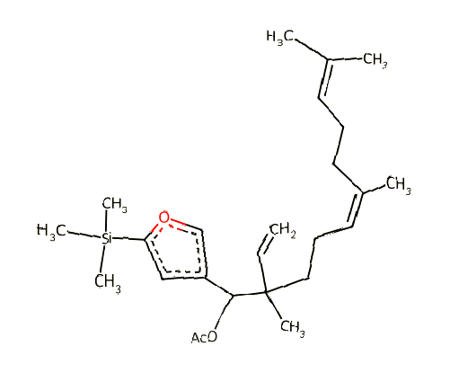 C=CC(C)(CCC=C(C)CCC=C(C)C)C(OC(C)=O)c1coc([Si](C)(C)C)c1